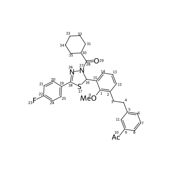 COc1c(CCc2cccc(C(C)=O)c2)cccc1C1SC(c2ccc(F)cc2)=NN1C(=O)C1CCCCC1